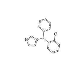 Clc1ccccc1C(c1ccccc1)n1ccnc1